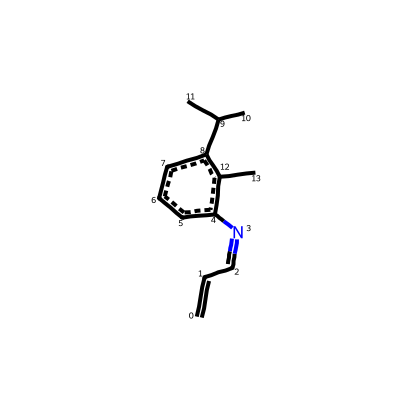 C=C/C=N\c1cccc(C(C)C)c1C